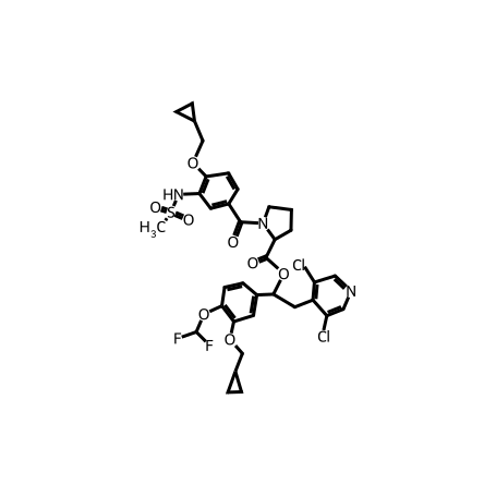 CS(=O)(=O)Nc1cc(C(=O)N2CCCC2C(=O)OC(Cc2c(Cl)cncc2Cl)c2ccc(OC(F)F)c(OCC3CC3)c2)ccc1OCC1CC1